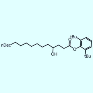 CCCCCCCCCCCCCCCCCC(O)CCC(=O)Oc1c(C(C)(C)C)cccc1C(C)(C)C